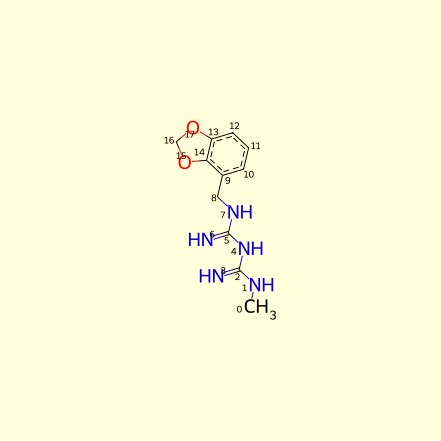 CNC(=N)NC(=N)NCc1cccc2c1OCO2